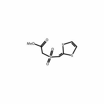 COC(=O)CS(=O)(=O)C=C1SC=CS1